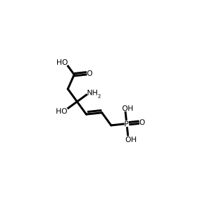 NC(O)(C=CCP(=O)(O)O)CC(=O)O